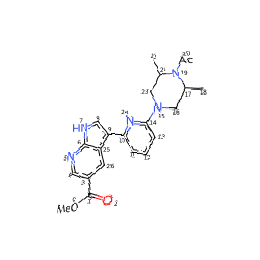 COC(=O)c1cnc2[nH]cc(-c3cccc(N4CC(C)N(C(C)=O)C(C)C4)n3)c2c1